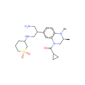 CC(=O)N1c2ccc(C(CN)CNC3CCCS(=O)(=O)C3)cc2N(C(=O)C2CC2)C[C@@H]1C